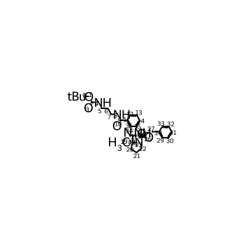 CC(C)(C)OC(=O)NCCCNC(=O)c1cccc2[nH]c([C@]3(C)CCCN3C(=O)OCc3ccccc3)nc12